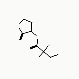 CCC(CC(C)C)(C(=O)OC1CCOC1=O)C(C)C